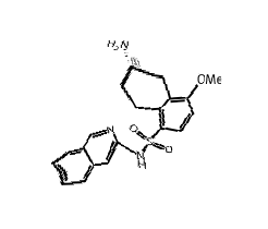 COc1ccc(S(=O)(=O)Nc2cc3ccccc3cn2)c2c1C[C@@H](N)CC2